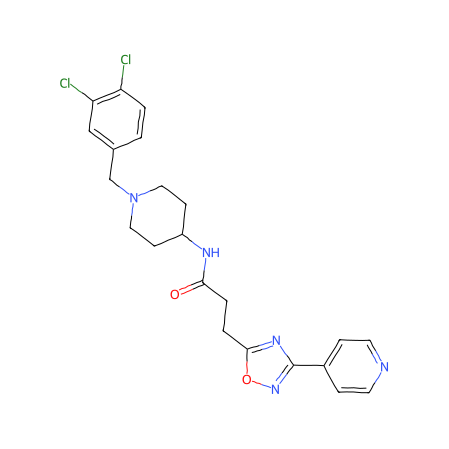 O=C(CCc1nc(-c2ccncc2)no1)NC1CCN(Cc2ccc(Cl)c(Cl)c2)CC1